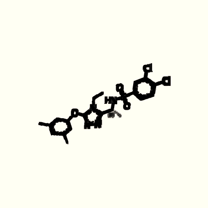 CCn1c(Oc2cc(C)cc(C)c2)nnc1[C@@H](C)NS(=O)(=O)c1ccc(Cl)c(Cl)c1